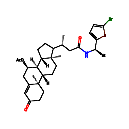 CC[C@@H](NC(=O)C[C@@H](C)C1CC[C@H]2[C@@H]3[C@H](OC(C)=O)CC4=CC(=O)CC[C@]4(C)[C@H]3CC[C@]12C)c1ccc(Br)s1